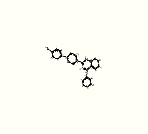 Ic1ccc(-c2ccc(-c3nc(-c4ccccc4)c4ccccc4n3)cc2)cc1